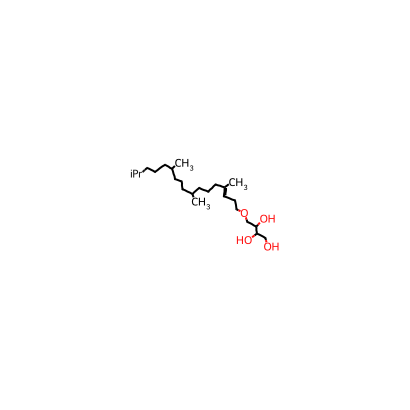 CC(=CCCOCC(O)C(O)CO)CCCC(C)CCCC(C)CCCC(C)C